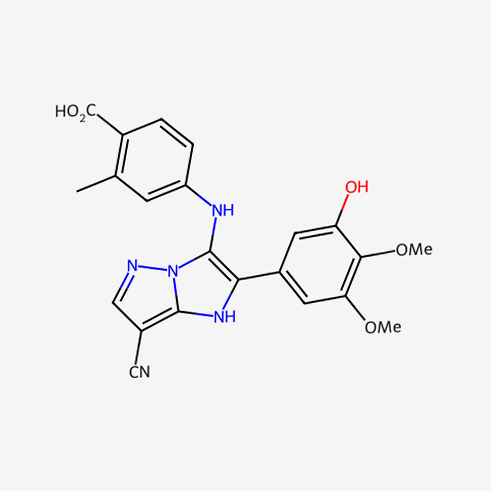 COc1cc(-c2[nH]c3c(C#N)cnn3c2Nc2ccc(C(=O)O)c(C)c2)cc(O)c1OC